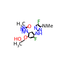 CNc1nc(Nc2cc(-n3nnn(C)c3=O)c(OCC(C)O)cc2F)ncc1F